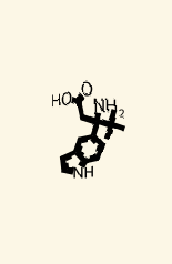 CC(C)(C)C(N)(CC(=O)O)c1ccc2[nH]ccc2c1